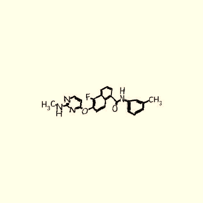 CNc1nccc(Oc2ccc3c(C(=O)Nc4cccc(C)c4)cccc3c2F)n1